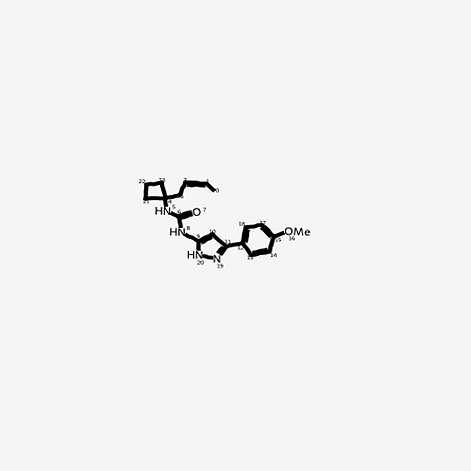 C/C=C\CC1(NC(=O)Nc2cc(-c3ccc(OC)cc3)n[nH]2)CCC1